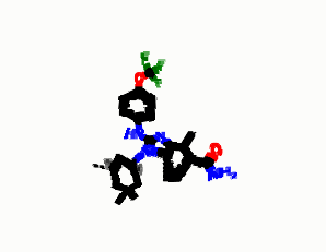 Cc1c(C(N)=O)ccc2c1nc(Nc1ccc(OC(F)(F)F)cc1)n2[C@@H]1C[C@@H](C)CC(C)(C)C1